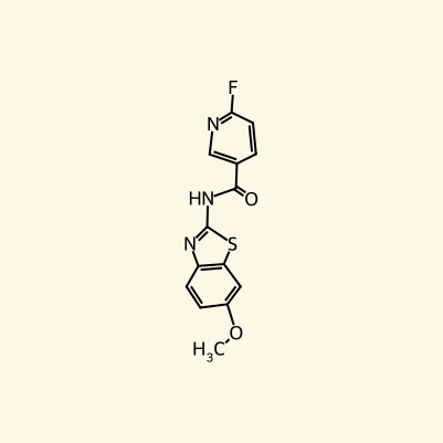 COc1ccc2nc(NC(=O)c3ccc(F)nc3)sc2c1